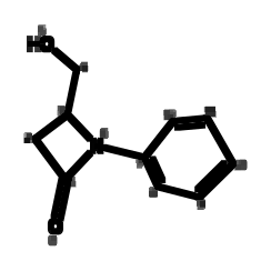 O=C1CC(CO)N1c1ccccc1